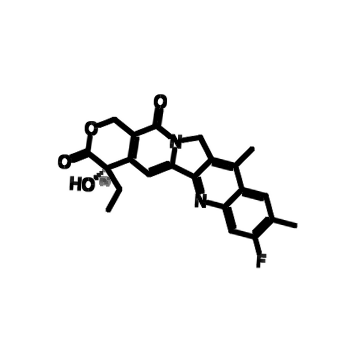 CC[C@@]1(O)C(=O)OCc2c1cc1n(c2=O)Cc2c-1nc1cc(F)c(C)cc1c2C